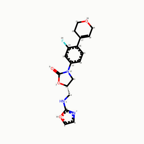 O=C1O[C@@H](CNc2ncco2)CN1c1ccc(C2=CCOCC2)c(F)c1